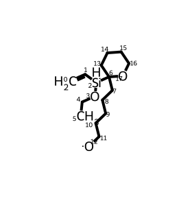 C=C[SiH](OCC)C1(CCCCC[O])CCCCO1